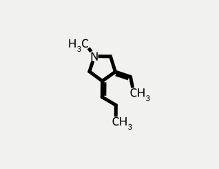 C/C=C1/CN(C)C/C1=C/CC